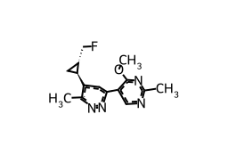 COc1nc(C)ncc1-c1cc([C@H]2C[C@@H]2CF)c(C)nn1